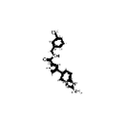 Nc1nc2ccc(-c3csc(C(=O)NCc4cccc(Cl)c4)c3)cn2n1